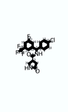 O=C1C[C@H](C(=O)NC(c2ccc(Cl)cc2)c2cc(F)cc(C(F)(F)F)c2)CN1